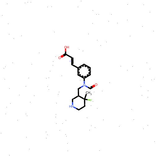 CC1(F)CCNCC1CN(C=O)c1cccc(/C=C/C(=O)O)c1